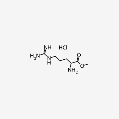 COC(=O)C(N)CCCNC(=N)N.Cl